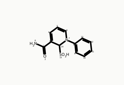 NC(=O)C1=CC=CN(c2ccccc2)C1S(=O)(=O)O